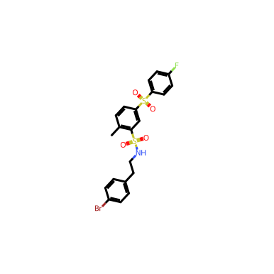 Cc1ccc(S(=O)(=O)c2ccc(F)cc2)cc1S(=O)(=O)NCCc1ccc(Br)cc1